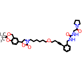 CC1(C)OCc2cc(C3CN(CCCCCCOCCC#Cc4ccccc4CNC(=O)NCC(=O)N4CCCC4)C(=O)O3)ccc2O1